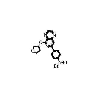 CCN(CC)c1ccc(-c2cc3nccnc3c(O[C@@H]3CCOC3)n2)cc1